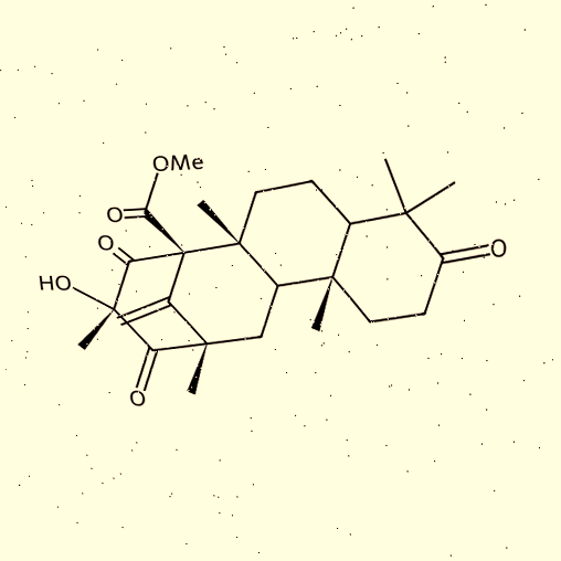 C=C1[C@]2(C)CC3[C@@]4(C)CCC(=O)C(C)(C)C4CC[C@@]3(C)[C@@]1(C(=O)OC)C(=O)[C@@](C)(O)C2=O